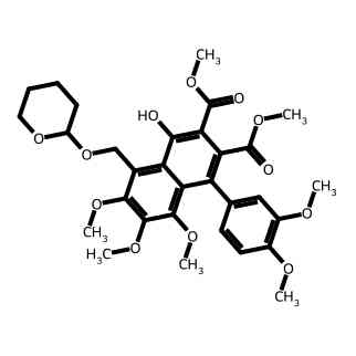 COC(=O)c1c(C(=O)OC)c(-c2ccc(OC)c(OC)c2)c2c(OC)c(OC)c(OC)c(COC3CCCCO3)c2c1O